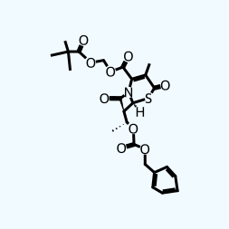 CC1=C(C(=O)OCOC(=O)C(C)(C)C)N2C(=O)[C@H]([C@@H](C)OC(=O)OCc3ccccc3)[C@@H]2SC1=O